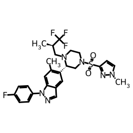 Cc1cc2c(cnn2-c2ccc(F)cc2)cc1[C@H]1CN(S(=O)(=O)c2ccn(C)n2)CCN1C[C@@H](C)C(F)(F)F